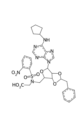 O=C(O)CN(CC1OC(n2cnc3c(NC4CCCC4)ncnc32)C2OC(Cc3ccccc3)OC12)S(=O)(=O)c1ccccc1[N+](=O)[O-]